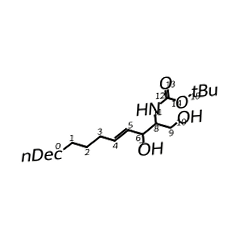 CCCCCCCCCCCCCC=CC(O)C(CO)NC(=O)OC(C)(C)C